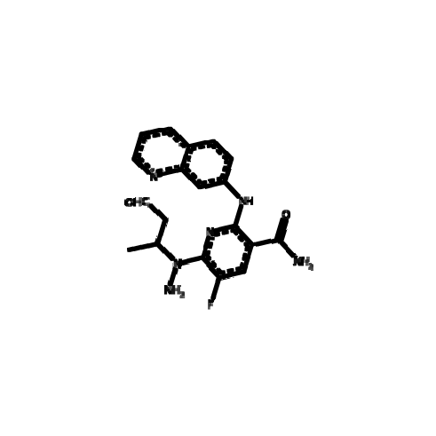 CC(CC=O)N(N)c1nc(Nc2ccc3cccnc3c2)c(C(N)=O)cc1F